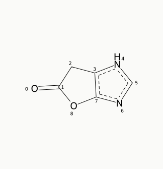 O=C1Cc2[nH]cnc2O1